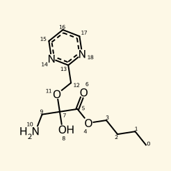 CCCCOC(=O)C(O)(CN)OCc1ncccn1